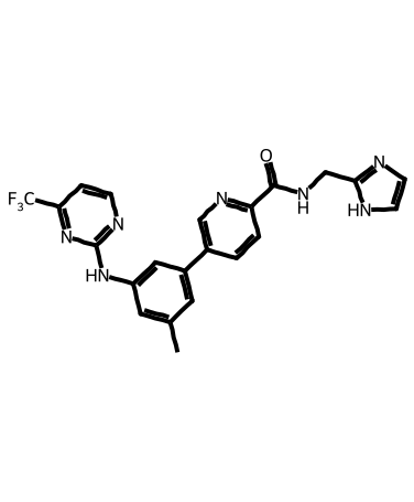 Cc1cc(Nc2nccc(C(F)(F)F)n2)cc(-c2ccc(C(=O)NCc3ncc[nH]3)nc2)c1